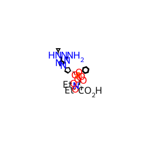 CCON(OCC)[C@@H](CC(=O)O)C(=O)OP(=O)(OC[C@@H]1C=C[C@H](n2cnc3c(NC4CC4)nc(N)nc32)C1)Oc1ccccc1